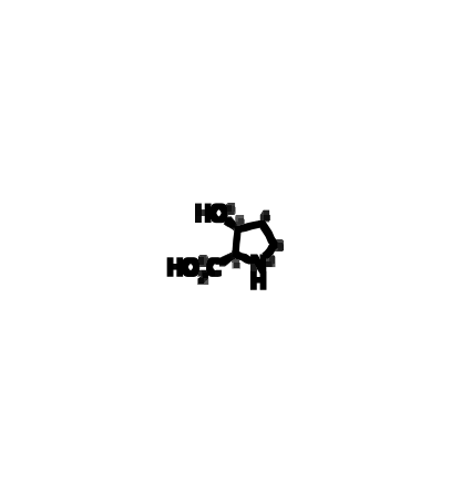 O=C(O)[C@@H]1NCC[C@@H]1O